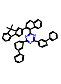 CC1(C)c2ccccc2-c2ccc(-c3ccc4ccccc4c3-c3nc(-c4cccc(-c5ccccc5)c4)nc(-c4cccc(-c5ccccc5)c4)n3)cc21